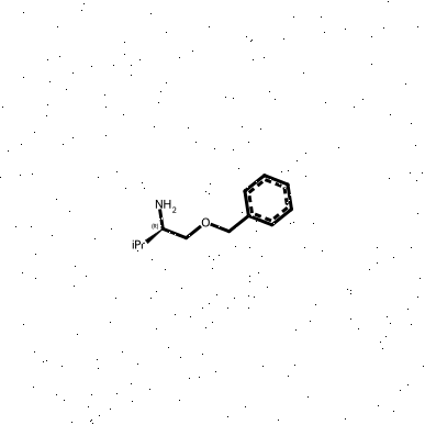 CC(C)[C@@H](N)COCc1ccccc1